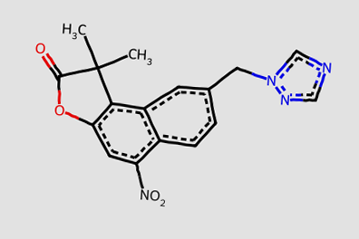 CC1(C)C(=O)Oc2cc([N+](=O)[O-])c3ccc(Cn4cncn4)cc3c21